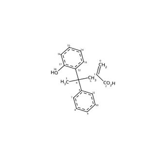 C=CC(=O)O.CC(C)(c1ccccc1)c1ccccc1O